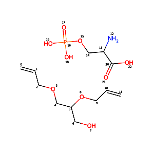 C=CCOCC(CO)OCC=C.NC(COP(=O)(O)O)C(=O)O